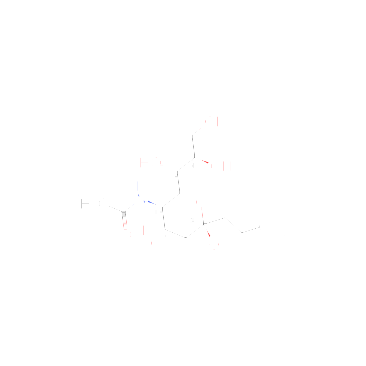 C[CH]C[C@]1(O)C[C@H](O)[C@@H](NC(C)=O)[C@H]([C@H](O)[C@H](O)CO)O1